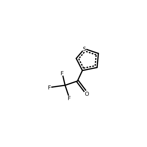 O=C(c1ccsc1)C(F)(F)F